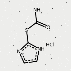 Cl.NC(=O)Sc1ncc[nH]1